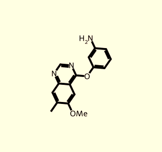 COc1cc2c(Oc3cccc(N)c3)ncnc2cc1C